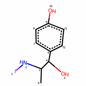 CC(NI)C(O)c1ccc(O)cc1